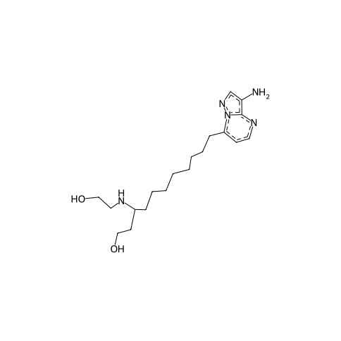 Nc1cnn2c(CCCCCCCCC(CCO)NCCO)ccnc12